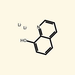 Oc1cccc2cccnc12.[Li].[Li]